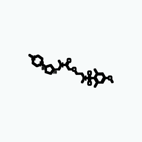 COc1cc(C)c(S(=O)(=O)N(C)CCOCC(=O)N(C)C[C@H]2CC[C@@H](N3CCN(C)CC3)C2)c(C)c1